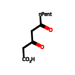 CCCCCC(=O)CC(=O)CC(=O)O